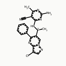 Cc1nc(N)nc(N[C@@H](C)c2cn3ncc(Cl)c3nc2-c2ccccc2)c1C#N